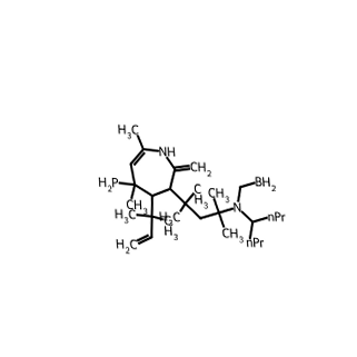 BCN(C(CCC)CCC)C(C)(C)CC(C)(C)C1C(=C)NC(C)=CC(C)(P)C1C(C)(C)C=C